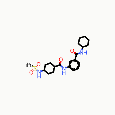 CC(C)S(=O)(=O)NC1CCC(C(=O)Nc2cccc(C(=O)NC3CCCCC3)c2)CC1